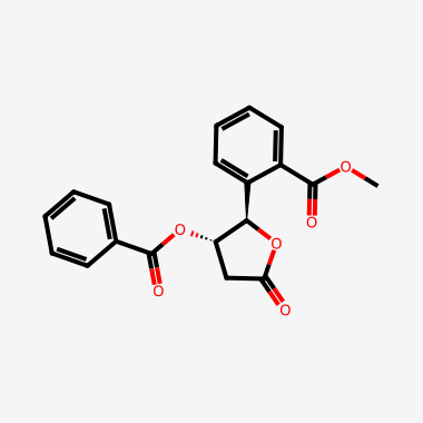 COC(=O)c1ccccc1[C@H]1OC(=O)C[C@@H]1OC(=O)c1ccccc1